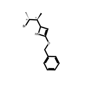 C[C@@H](Br)[C@@H](C)C1C=C(OCc2ccccc2)N1